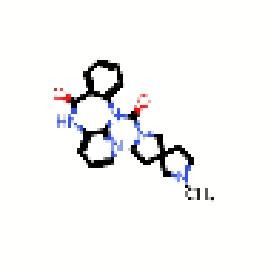 CN1CCC2(CCN(C(=O)N3c4ccccc4C(=O)Nc4cccnc43)C2)C1